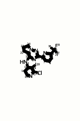 FC(F)(I)c1cccc(-c2nc(Nc3ccnc(Cl)c3I)c3cccn3n2)n1